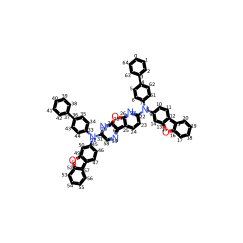 c1ccc(-c2ccc(N(c3ccc4c(c3)oc3ccccc34)c3ccc4c(n3)oc3nc(N(c5ccc(-c6ccccc6)cc5)c5ccc6c(c5)oc5ccccc56)cnc34)cc2)cc1